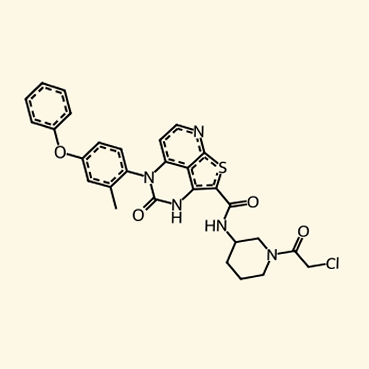 Cc1cc(Oc2ccccc2)ccc1N1C(=O)Nc2c(C(=O)NC3CCCN(C(=O)CCl)C3)sc3nccc1c23